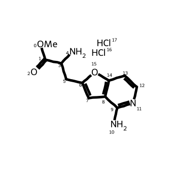 COC(=O)C(N)Cc1cc2c(N)nccc2o1.Cl.Cl